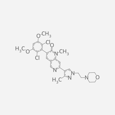 COc1cc(OC)c(Cl)c(-c2cc3cnc(-c4cn(CCN5CCOCC5)nc4C)cc3n(C)c2=O)c1Cl